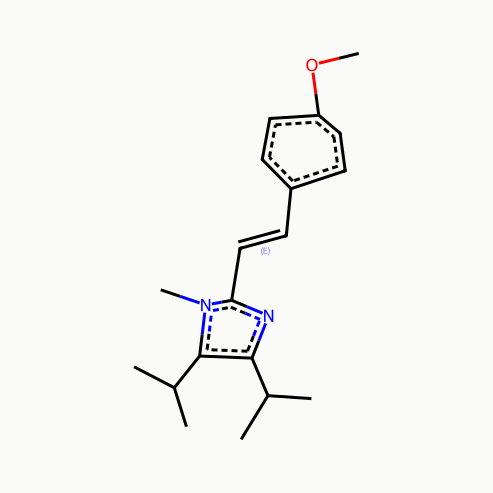 COc1ccc(/C=C/c2nc(C(C)C)c(C(C)C)n2C)cc1